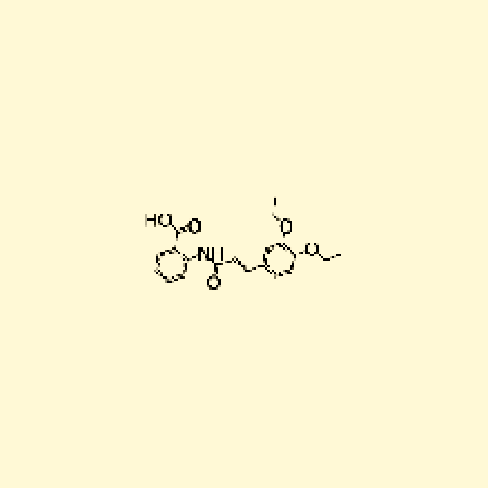 CCOc1ccc(C=CC(=O)Nc2ccccc2C(=O)O)cc1OCC